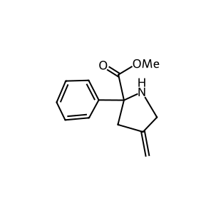 C=C1CNC(C(=O)OC)(c2ccccc2)C1